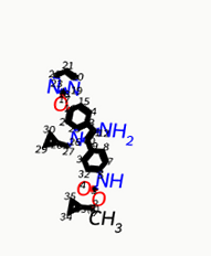 C[C@@H](OC(=O)Nc1ccc(-c2c(N)c3ccc(Oc4ncccn4)cc3n2CC2CC2)cc1)C1CC1